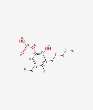 CCCCCc1c(C)c(CC)cc(OC(=O)O)c1O